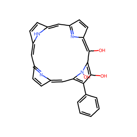 Oc1c2nc(cc3ccc(cc4nc(cc5c(-c6ccccc6)c(O)c1n5O)C=C4)[nH]3)C=C2